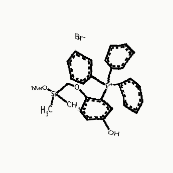 CO[Si](C)(C)COc1ccc(O)cc1[P+](c1ccccc1)(c1ccccc1)c1ccccc1.[Br-]